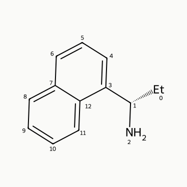 CC[C@H](N)c1cccc2ccccc12